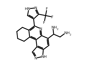 NCC(N)c1cc2[nH]ncc2c2c3c(c(-c4c[nH]nc4C(F)(F)F)nc12)CCCC3